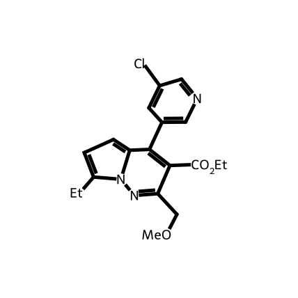 CCOC(=O)c1c(COC)nn2c(CC)ccc2c1-c1cncc(Cl)c1